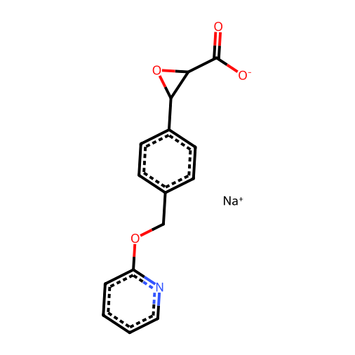 O=C([O-])C1OC1c1ccc(COc2ccccn2)cc1.[Na+]